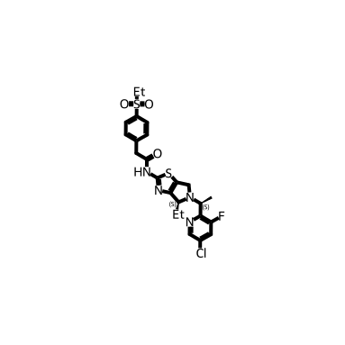 CC[C@H]1c2nc(NC(=O)Cc3ccc(S(=O)(=O)CC)cc3)sc2CN1[C@@H](C)c1ncc(Cl)cc1F